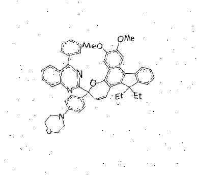 CCC1(CC)c2ccccc2-c2c1c1c(c3cc(OC)c(OC)cc23)OC(c2ccc(N3CCOCC3)cc2)(c2nc(-c3ccccc3)c3ccccc3n2)C=C1